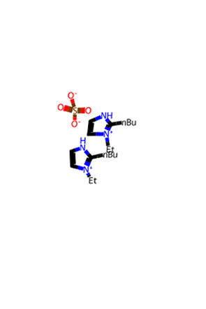 CCCCc1[nH]cc[n+]1CC.CCCCc1[nH]cc[n+]1CC.O=S(=O)([O-])[O-]